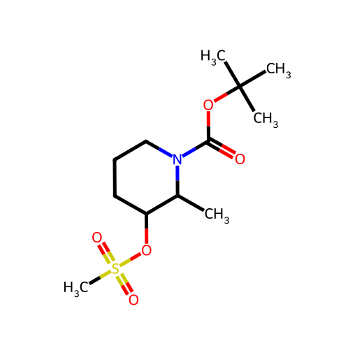 CC1C(OS(C)(=O)=O)CCCN1C(=O)OC(C)(C)C